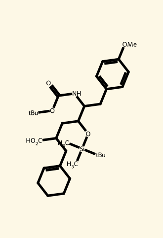 COc1ccc(CC(NC(=O)OC(C)(C)C)C(CC(CC2=CCCCC2)C(=O)O)O[Si](C)(C)C(C)(C)C)cc1